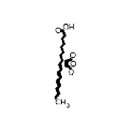 CCCCC=CC=CC=CCCCCCCCC(=O)O.O=C1C=CC(=O)O1